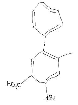 Cc1cc(C(C)(C)C)c(C(=O)O)cc1-c1ccccc1